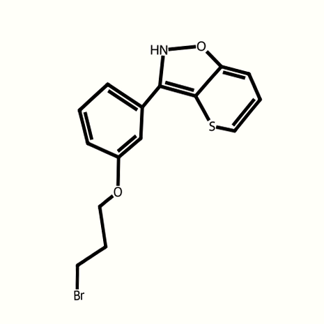 BrCCCOc1cccc(C2=C3SC=CC=C3ON2)c1